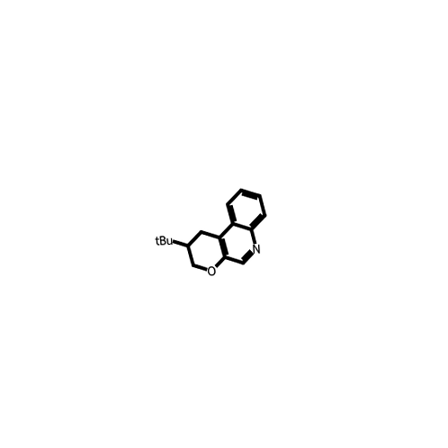 CC(C)(C)C1COc2cnc3ccccc3c2C1